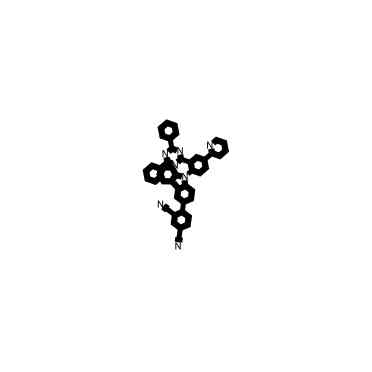 N#Cc1ccc(-c2ccc3c(c2)c2ccccc2n3-c2ccc(-c3ccccn3)cc2-c2nc(-c3ccccc3)nc(-c3ccccc3)n2)c(C#N)c1